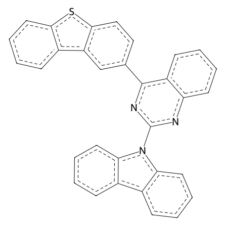 c1ccc2c(-c3ccc4sc5ccccc5c4c3)nc(-n3c4ccccc4c4ccccc43)nc2c1